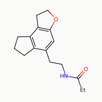 CCC(=O)NCCc1cc2c(c3c1CCC3)CCO2